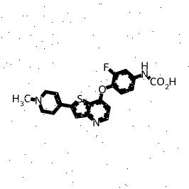 CN1CC=C(c2cc3nccc(Oc4ccc(NC(=O)O)cc4F)c3s2)CC1